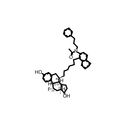 CC(=O)N(CCCc1ccccc1)c1ccc2ccccc2c1CCCCCC[C@@H]1Cc2cc(O)ccc2[C@@H]2[C@@H]1[C@@H]1CC[C@H](O)[C@@]1(C)C[C@@H]2F